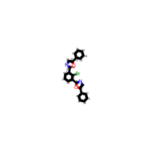 Brc1c(-c2ncc(-c3ccccc3)o2)cccc1-c1ncc(-c2ccccc2)o1